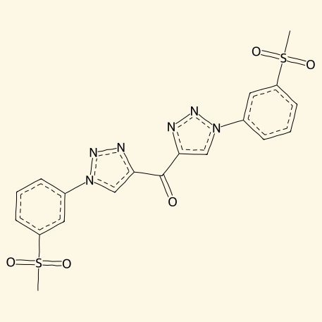 CS(=O)(=O)c1cccc(-n2cc(C(=O)c3cn(-c4cccc(S(C)(=O)=O)c4)nn3)nn2)c1